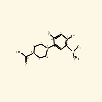 C[S+]([O-])c1cc(N2CCN(C(=O)O)CC2)c(F)cc1F